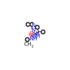 Cc1cccc(NC(=O)N[C@@H]2N=C(c3ccccc3)c3ccccc3N(Cc3nccc4ccccc34)C2=O)c1